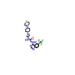 O=C(CNc1ncnc2ccc(C(F)(F)F)cc12)NC1CN([C@H]2CC[C@H](N3CCSCC3)CC2)C1